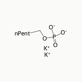 CCCCCCOP(=O)([O-])[O-].[K+].[K+]